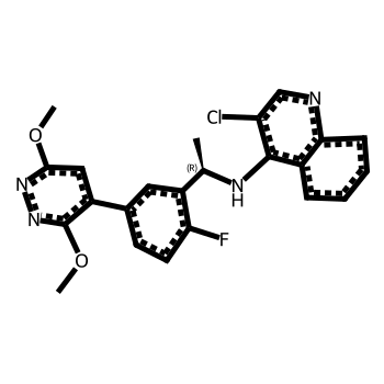 COc1cc(-c2ccc(F)c([C@@H](C)Nc3c(Cl)cnc4ccccc34)c2)c(OC)nn1